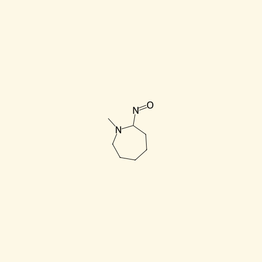 CN1CCCCCC1N=O